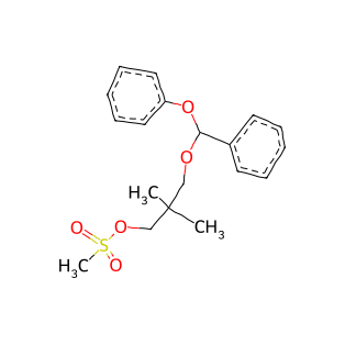 CC(C)(COC(Oc1ccccc1)c1ccccc1)COS(C)(=O)=O